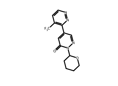 O=c1cc(-c2nnccc2C(F)(F)F)cnn1C1CCCCO1